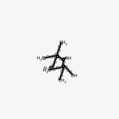 COCCOCCOCCOc1cc(COc2cc(CO)cc(OCc3cc(OCCOCCOCCOC)c(OCCOCCOCCOC)c(OCCOCCOCCOC)c3)c2)cc(OCCOCCOCCO)c1OCCOCCOCCOC